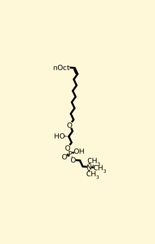 CCCCCCCC/C=C\CCCCCCCCOC[C@@H](O)COP(=O)(O)OCC[N+](C)(C)C